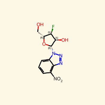 O=[N+]([O-])c1cccc2c1nnn2[C@@H]1O[C@H](CO)[C@@H](F)[C@H]1O